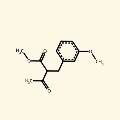 COC(=O)C(Cc1cccc(OC)c1)C(C)=O